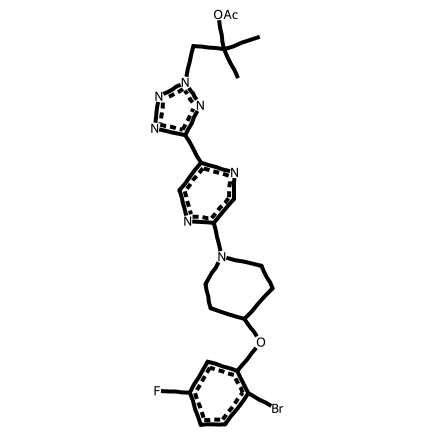 CC(=O)OC(C)(C)Cn1nnc(-c2cnc(N3CCC(Oc4cc(F)ccc4Br)CC3)cn2)n1